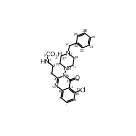 O=C(O)NCCc1nc2cccc(Cl)c2c(=O)n1N1CCN(Cc2ccccc2)CC1